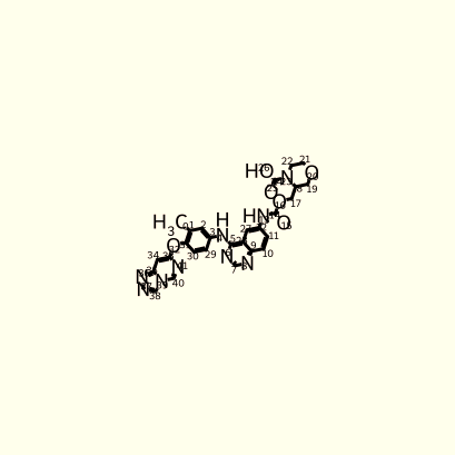 Cc1cc(Nc2ncnc3ccc(NC(=O)OCC4COCCN4C(=O)O)cc23)ccc1Oc1cc2nncn2cn1